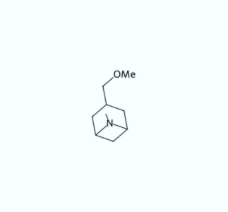 COCC1CC2CC(C1)N2C